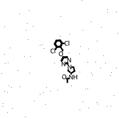 CC(=O)N[C@@H]1CCN(c2ncc(OCc3c(Cl)cccc3Cl)cn2)C1